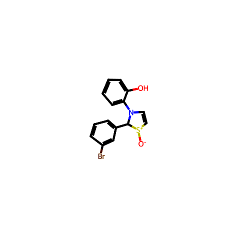 [O-][S+]1C=CN(c2ccccc2O)C1c1cccc(Br)c1